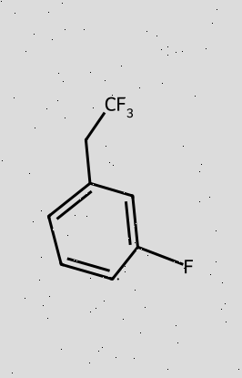 Fc1[c]ccc(CC(F)(F)F)c1